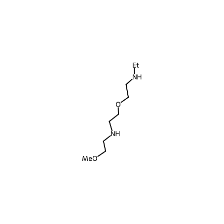 CCNCCOCCNCCOC